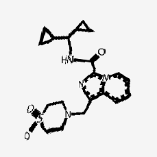 O=C(NC(C1CC1)C1CC1)c1nc(CN2CCS(=O)(=O)CC2)c2ccccn12